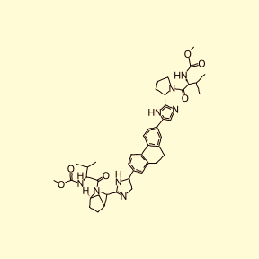 COC(=O)N[C@H](C(=O)N1CCC[C@H]1c1ncc(-c2ccc3c(c2)CCc2cc(C4CN=C(C5C6CC[C@H](C6)N5C(=O)[C@@H](NC(=O)OC)C(C)C)N4)ccc2-3)[nH]1)C(C)C